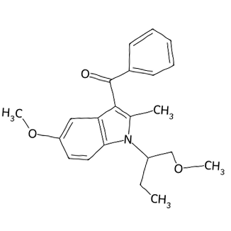 CCC(COC)n1c(C)c(C(=O)c2ccccc2)c2cc(OC)ccc21